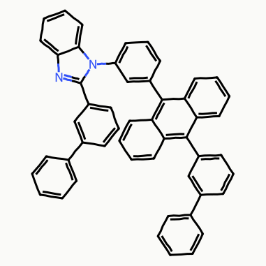 c1ccc(-c2cccc(-c3c4ccccc4c(-c4cccc(-n5c(-c6cccc(-c7ccccc7)c6)nc6ccccc65)c4)c4ccccc34)c2)cc1